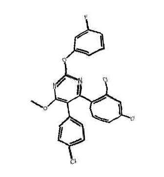 COc1nc(Oc2cccc(F)c2)nc(-c2ccc(Cl)cc2Cl)c1-c1ccc(Cl)cc1